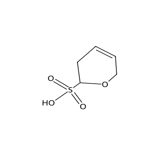 O=S(=O)(O)C1CC=CCO1